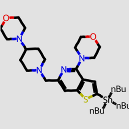 CCC[CH2][Sn]([CH2]CCC)([CH2]CCC)[c]1cc2c(N3CCOCC3)nc(CN3CCC(N4CCOCC4)CC3)cc2s1